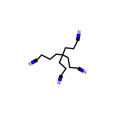 N#CCCCC(CCC#N)(CCC#N)CCC#N